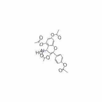 CC(=O)Oc1ccc(-c2oc3cc(OC(C)=O)cc(OC(C)=O)c3/c(=N/O)c2OC(C)=O)cc1